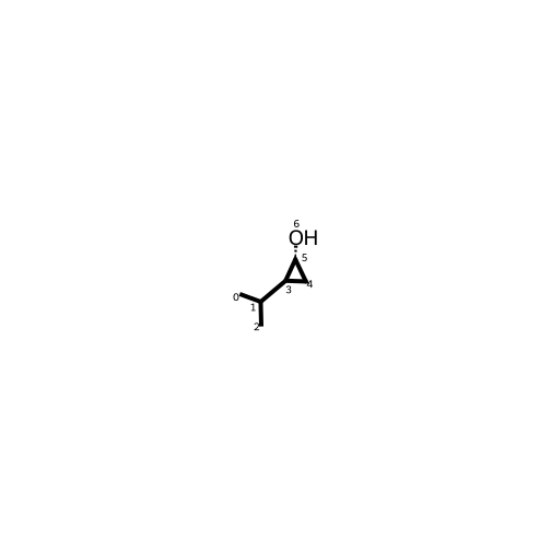 CC(C)C1C[C@H]1O